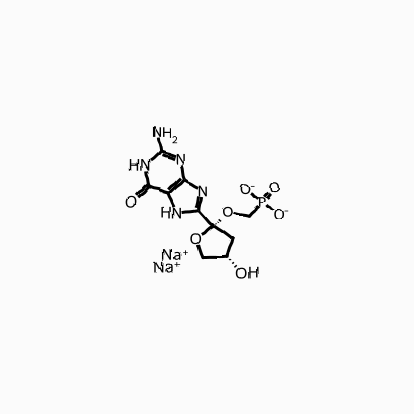 Nc1nc2nc([C@@]3(OCP(=O)([O-])[O-])C[C@H](O)CO3)[nH]c2c(=O)[nH]1.[Na+].[Na+]